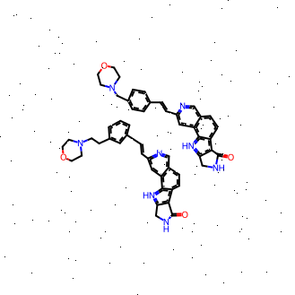 O=C1NCc2[nH]c3c(ccc4cnc(C=Cc5ccc(CN6CCOCC6)cc5)cc43)c21.O=C1NCc2[nH]c3c(ccc4cnc(C=Cc5cccc(CCN6CCOCC6)c5)cc43)c21